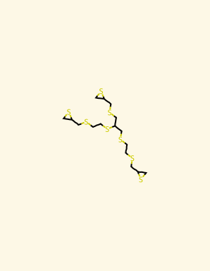 C(CSCC1CS1)SCC(CSCC1CS1)SCCSCC1CS1